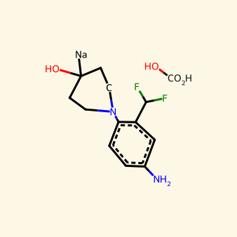 Nc1ccc(N2CC[C](O)([Na])CC2)c(C(F)F)c1.O=C(O)O